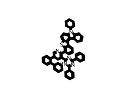 C1=CCC(C2=NC(c3ccccc3)=NC(C3=C(c4cccc5c4sc4ccc6c(c45)C4CC=CC=C4N6C4CCCCC4)N=CC(c4ccccc4C4C=CCCC4)C3)N2)C=C1